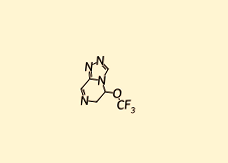 FC(F)(F)OC1CN=Cc2nncn21